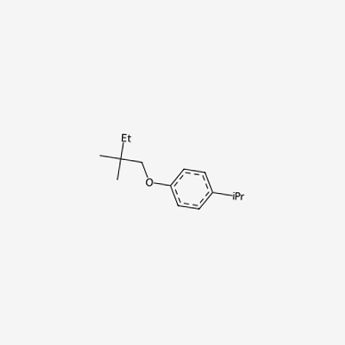 CCC(C)(C)COc1ccc(C(C)C)cc1